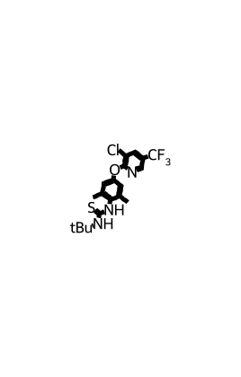 Cc1cc(Oc2ncc(C(F)(F)F)cc2Cl)cc(C)c1NC(=S)NC(C)(C)C